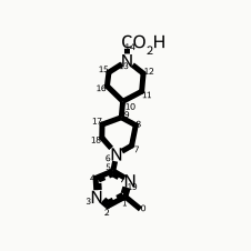 Cc1cncc(N2CCC(C3CCN(C(=O)O)CC3)CC2)n1